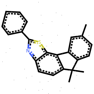 Cc1ccc2c(c1)-c1c(ccc3nc(-c4ccccc4)sc13)C2(C)C